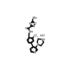 CC(C)(C)c1nc(C(=O)NCc2ccc(-c3ccncc3N3CCNCC3)cc2C(F)(F)F)no1.Cl